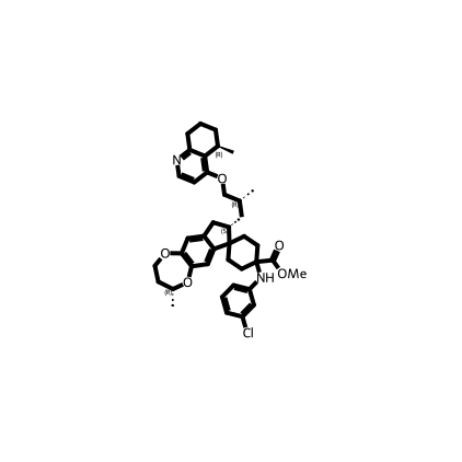 COC(=O)C1(Nc2cccc(Cl)c2)CCC2(CC1)c1cc3c(cc1C[C@@H]2C[C@@H](C)COc1ccnc2c1[C@H](C)CCC2)OCC[C@@H](C)O3